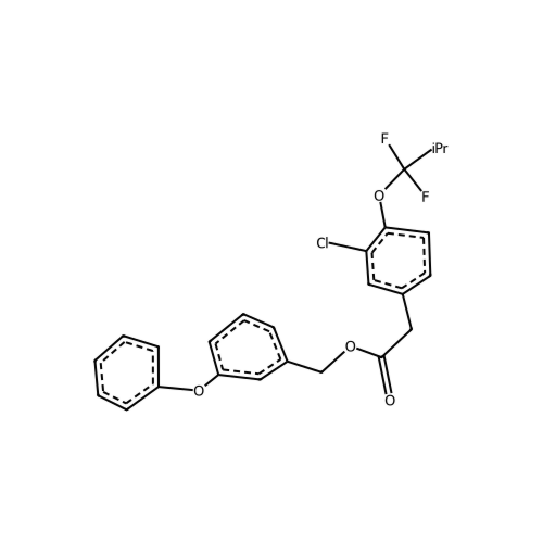 CC(C)C(F)(F)Oc1ccc(CC(=O)OCc2cccc(Oc3ccccc3)c2)cc1Cl